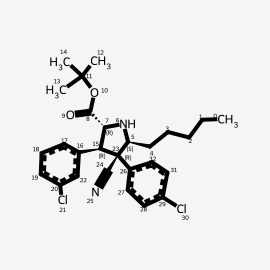 CCCCC[C@@H]1N[C@@H](C(=O)OC(C)(C)C)[C@H](c2cccc(Cl)c2)[C@@]1(C#N)c1ccc(Cl)cc1